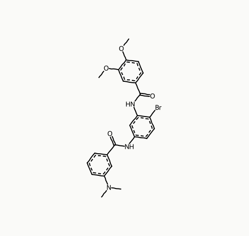 COc1ccc(C(=O)Nc2cc(NC(=O)c3cccc(N(C)C)c3)ccc2Br)cc1OC